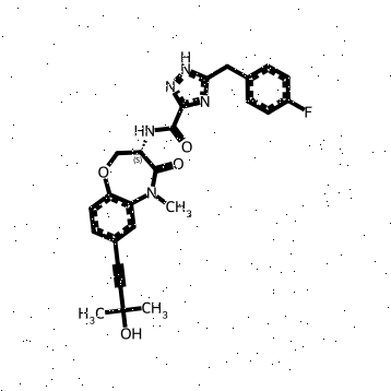 CN1C(=O)[C@@H](NC(=O)c2n[nH]c(Cc3ccc(F)cc3)n2)COc2ccc(C#CC(C)(C)O)cc21